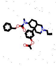 C=CCN1CCC2(c3cccc(OC(C)=O)c3)CC(N(C)C(=O)OCc3ccccc3)CCC2C1